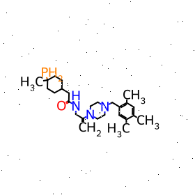 C=C(CNC(=O)CC1CCC(C)(P)CC1)N1CCN(Cc2cc(C)c(C)cc2C)CC1